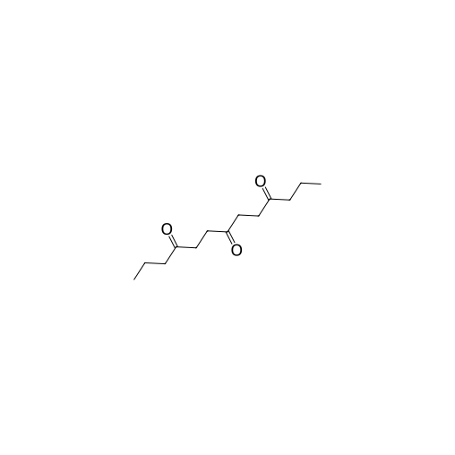 CCCC(=O)CCC(=O)CCC(=O)CCC